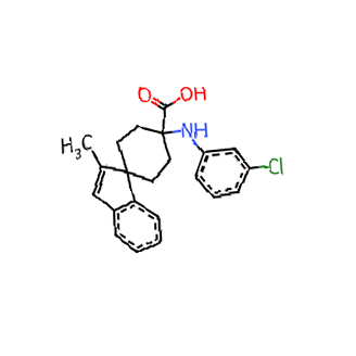 CC1=Cc2ccccc2C12CCC(Nc1cccc(Cl)c1)(C(=O)O)CC2